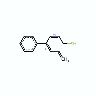 C=C/C=C(\C=C/CS)c1ccccc1